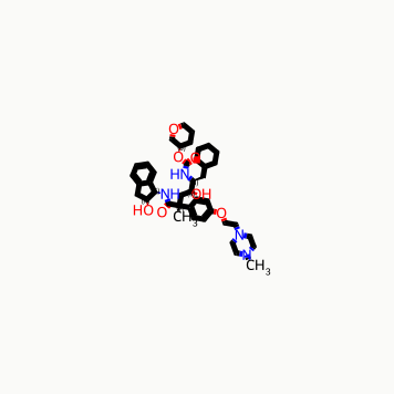 CN1CCN(CCOc2ccc([C@@](C)(C[C@H](O)[C@H](CC3CCCCC3)NC(=O)O[C@H]3CCCOC3)C(=O)N[C@H]3c4ccccc4C[C@H]3O)cc2)CC1